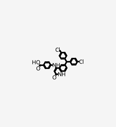 O=C(O)c1ccc(Nc2cc(=O)[nH]c3ccc(C(c4ccc(Cl)cc4)c4ccc(Cl)cc4)cc23)cc1